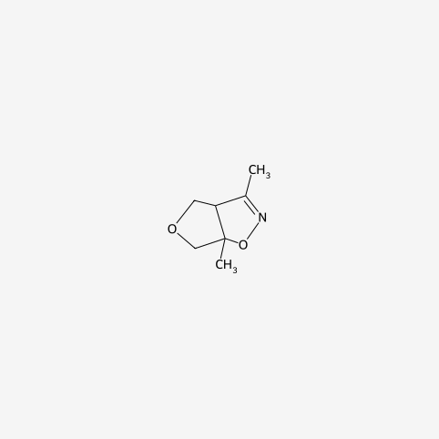 CC1=NOC2(C)COCC12